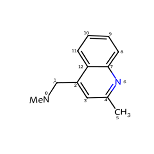 CN[CH]c1cc(C)nc2ccccc12